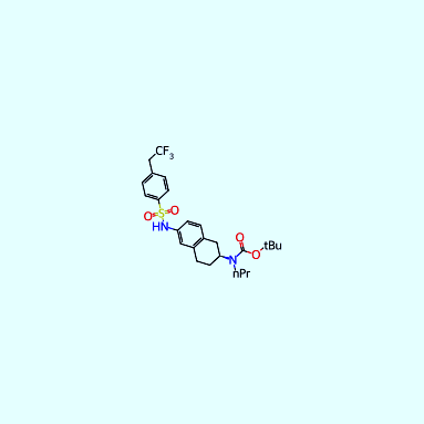 CCCN(C(=O)OC(C)(C)C)[C@H]1CCc2cc(NS(=O)(=O)c3ccc(CC(F)(F)F)cc3)ccc2C1